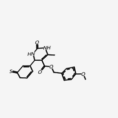 COc1ccc(COC(=O)C2=C(C)NC(=O)NC2C2=CC(=S)CC=C2)cc1